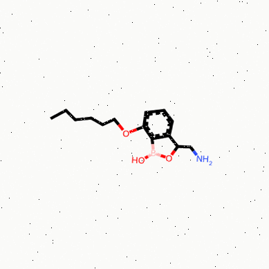 CCCCCCOc1cccc2c1B(O)OC2CN